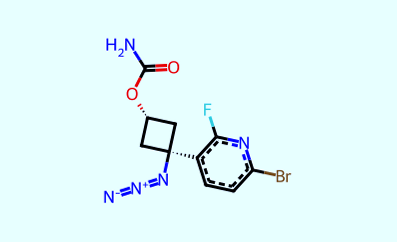 [N-]=[N+]=N[C@]1(c2ccc(Br)nc2F)C[C@@H](OC(N)=O)C1